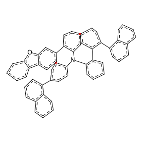 c1ccc(-c2cccc3ccccc23)c(-c2ccccc2N(c2ccc(-c3cccc4ccccc34)cc2)c2ccccc2-c2ccc3c(c2)oc2ccccc23)c1